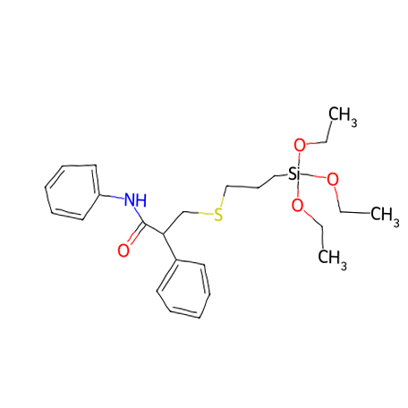 CCO[Si](CCCSCC(C(=O)Nc1ccccc1)c1ccccc1)(OCC)OCC